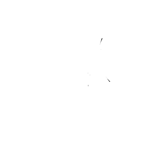 C=CCc1ccc([C@@H]2C[C@H](CC(=O)O)CCN2[C@H](CCC(C)C)c2ccc(C(F)(F)F)cc2)cc1